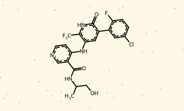 CC(CO)NC(=O)c1cnccc1Nc1cc(-c2cc(Cl)ccc2F)c(=O)[nH]c1C(F)(F)F